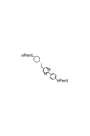 CCCCCc1ccc(-c2ncc(CC[C@H]3CC[C@H](CCCCC)CC3)cn2)cc1